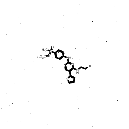 CCOC(=O)N=S(C)(=O)c1ccc(Nc2ncc(-c3cccs3)c(NCCO)n2)cc1